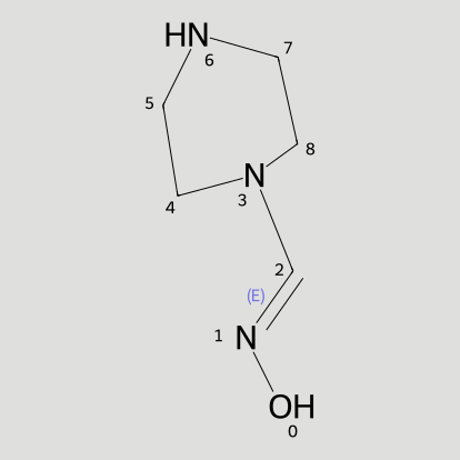 O/N=C/N1CCNCC1